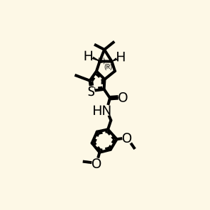 COc1ccc(CNC(=O)c2sc(C)c3c2C[C@@H]2[C@H]3C2(C)C)c(OC)c1